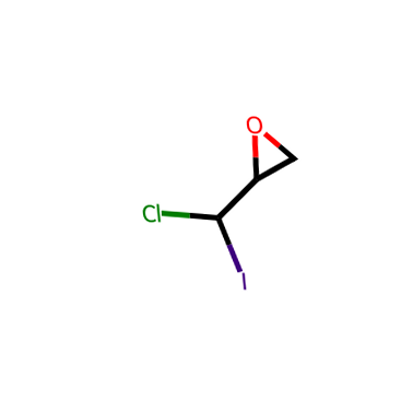 ClC(I)C1CO1